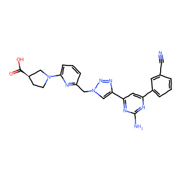 N#Cc1cccc(-c2cc(-c3cn(Cc4cccc(N5CC[C@@H](C(=O)O)C5)n4)nn3)nc(N)n2)c1